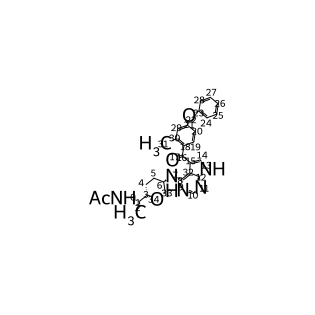 CC(=O)N[C@@H](C)[C@@H]1CC[C@@H](Nc2ncnc3[nH]cc(C(=O)c4ccc(Oc5ccccc5)cc4C)c23)CO1